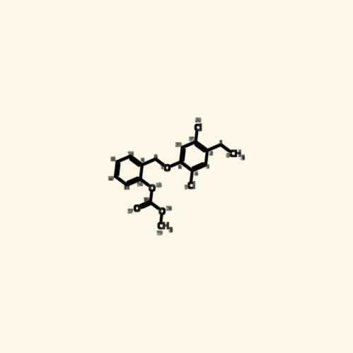 CCc1cc(Cl)c(OCc2ccccc2OC(=O)OC)cc1Cl